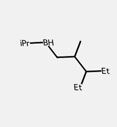 CCC(CC)C(C)CBC(C)C